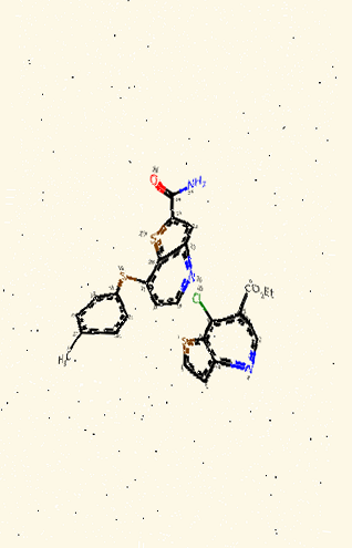 CCOC(=O)c1cnc2ccsc2c1Cl.Cc1ccc(Sc2ccnc3cc(C(N)=O)sc23)cc1